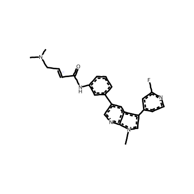 CN(C)C/C=C/C(=O)Nc1cccc(-c2cnc3c(c2)c(-c2ccnc(F)c2)cn3C)c1